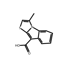 Cc1csc2c(C(=O)O)c3ccccc3n12